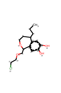 CCCC1CCOC(COCCCl)c2cc(O)c(O)cc21